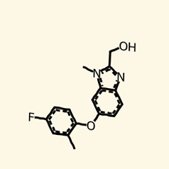 Cc1cc(F)ccc1Oc1ccc2nc(CO)n(C)c2c1